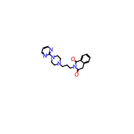 O=C1Cc2ccccc2C(=O)N1CCCN1CCN(c2ncccn2)CC1